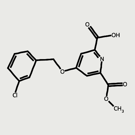 COC(=O)c1cc(OCc2cccc(Cl)c2)cc(C(=O)O)n1